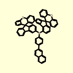 c1ccc2c(c1)Oc1ccccc1C21c2ccccc2-c2c(N(c3ccc(-c4ccc5ccccc5c4)cc3)c3ccc4c(c3)-c3ccccc3C43c4ccccc4Sc4ccccc43)cccc21